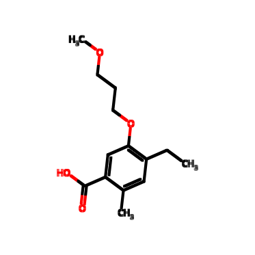 CCc1cc(C)c(C(=O)O)cc1OCCCOC